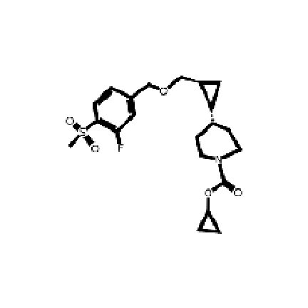 CS(=O)(=O)c1ccc(COC[C@H]2C[C@@H]2C2CCN(C(=O)OC3CC3)CC2)cc1F